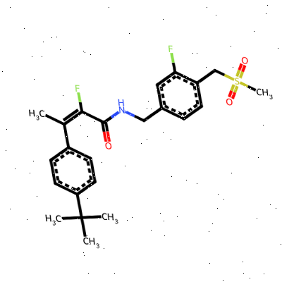 CC(=C(F)C(=O)NCc1ccc(CS(C)(=O)=O)c(F)c1)c1ccc(C(C)(C)C)cc1